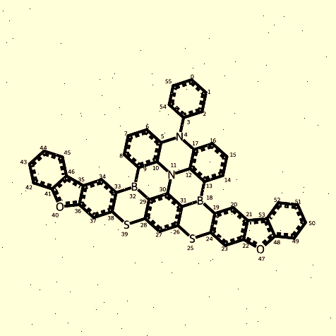 c1ccc(N2c3cccc4c3N3c5c(cccc52)B2c5cc6c(cc5Sc5cc7c(c3c52)B4c2cc3c(cc2S7)oc2ccccc23)oc2ccccc26)cc1